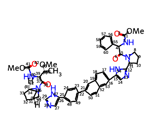 COC(=O)NC(C(=O)N1CCC[C@H]1c1ncc(-c2ccc3cc(-c4ccc(-c5cnc([C@@H]6[C@H]7CC[C@H](C7)N6C(=O)[C@@H](NC(=O)OC)[C@@H](C)OC)[nH]5)cc4)ccc3c2)[nH]1)c1ccccc1